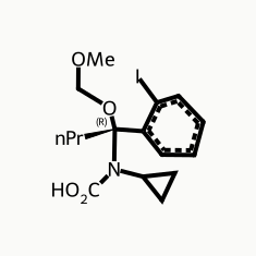 CCC[C@@](OCOC)(c1ccccc1I)N(C(=O)O)C1CC1